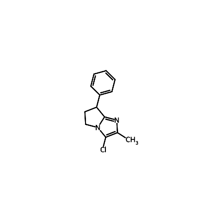 Cc1nc2n(c1Cl)CCC2c1ccccc1